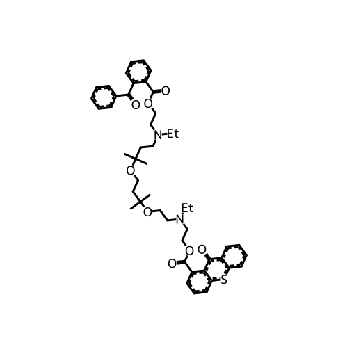 CCN(CCOC(=O)c1cccc2sc3ccccc3c(=O)c12)CCOC(C)(C)CCOC(C)(C)CCN(CC)CCOC(=O)c1ccccc1C(=O)c1ccccc1